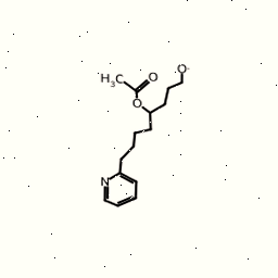 CC(=O)OC(CCC[O])CCCCc1ccccn1